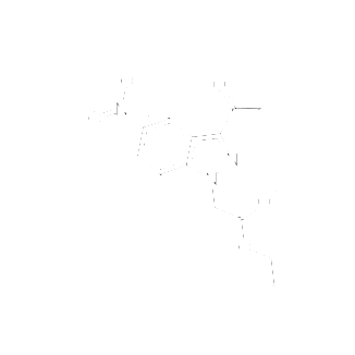 CCOC(=O)Cn1nc(C(C)=O)c2cc([N+](=O)[O-])ccc21